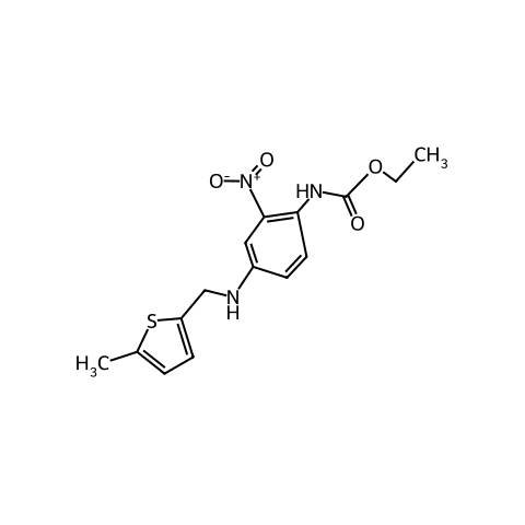 CCOC(=O)Nc1ccc(NCc2ccc(C)s2)cc1[N+](=O)[O-]